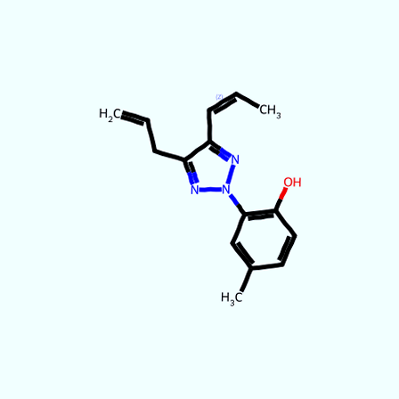 C=CCc1nn(-c2cc(C)ccc2O)nc1/C=C\C